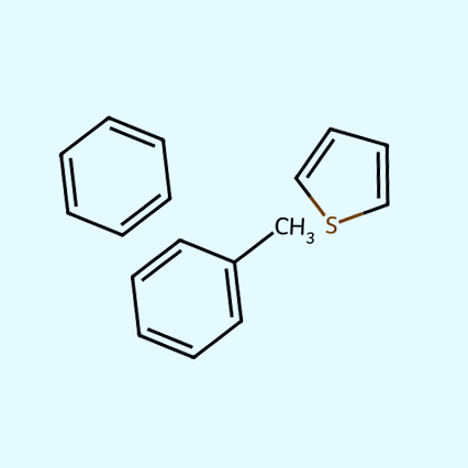 Cc1ccccc1.c1ccccc1.c1ccsc1